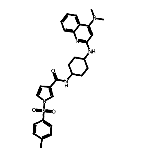 Cc1ccc(S(=O)(=O)n2ccc(C(=O)NC3CCC(Nc4cc(N(C)C)c5ccccc5n4)CC3)c2)cc1